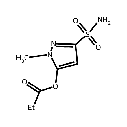 CCC(=O)Oc1cc(S(N)(=O)=O)nn1C